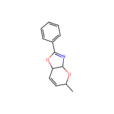 CC1C=CC2OC(c3ccccc3)=NC2O1